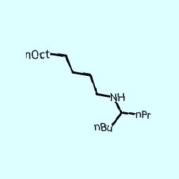 CCCCCCCCCCCCNC(CCC)CCCC